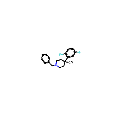 N#CC1(c2cc(F)ccc2F)CCN(Cc2ccccc2)CC1